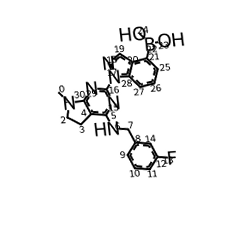 CN1CCc2c(NCc3cccc(F)c3)nc(-n3ncc4c(B(O)O)cccc43)nc21